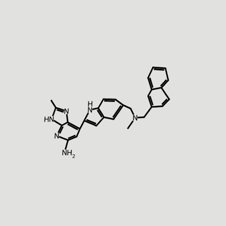 Cc1nc2c(-c3cc4cc(CN(C)Cc5ccc6ccccc6c5)ccc4[nH]3)cc(N)nc2[nH]1